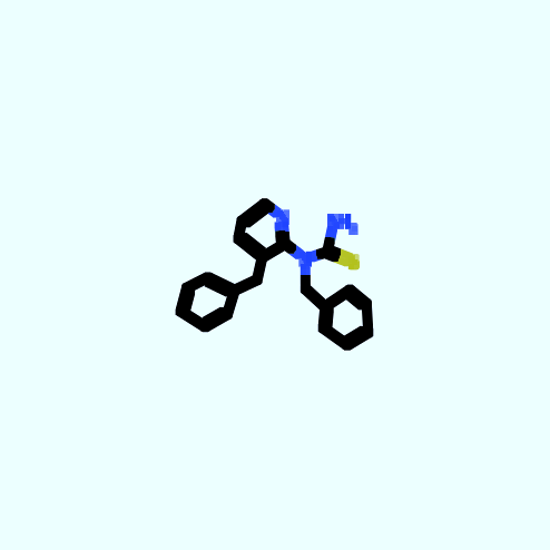 NC(=S)N(Cc1ccccc1)c1ncccc1Cc1ccccc1